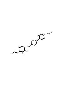 C/C=C/c1ccc(OCC2CCC(c3ccc(OCC)cc3F)CC2)c(F)c1F